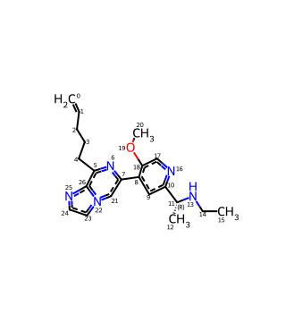 C=CCCCc1nc(-c2cc([C@@H](C)NCC)ncc2OC)cn2ccnc12